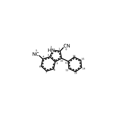 N#Cc1[nH]c2c(C#N)cccc2c1-c1ccccc1